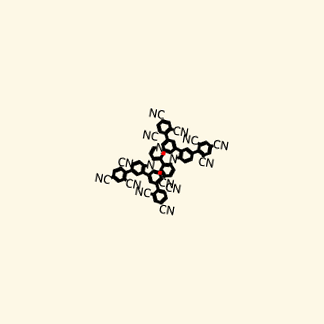 N#Cc1cc(C#N)c(-c2ccc3c(c2)c2cc(-c4c(C#N)cc(C#N)cc4C#N)ccc2n3-c2ccncc2-c2cc(C#N)ccc2-n2c3ccc(-c4c(C#N)cc(C#N)cc4C#N)cc3c3cc(-c4c(C#N)cc(C#N)cc4C#N)ccc32)c(C#N)c1